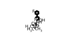 CC(C)N(C(=O)CNc1ncc(-c2cccc(F)c2)cc1O)C(C)C